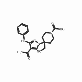 CC(C)(C)C(=O)N1CCC(CC#N)(n2cc(C(N)=O)c(Nc3ccccc3)n2)CC1